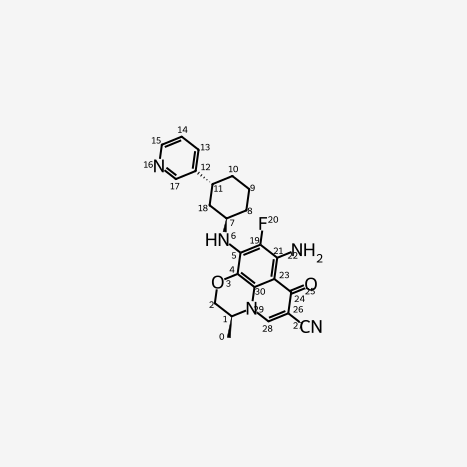 C[C@H]1COc2c(N[C@@H]3CCC[C@@H](c4cccnc4)C3)c(F)c(N)c3c(=O)c(C#N)cn1c23